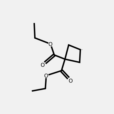 CCOC(=O)C1(C(=O)OCC)C[CH]C1